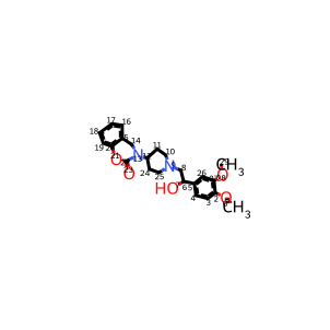 COc1ccc(C(O)CN2CCC(N3Cc4ccccc4OC3=O)CC2)cc1OC